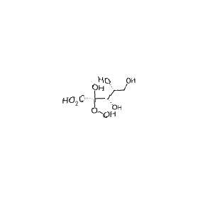 O=C(O)[C@@](O)(OO)[C@@H](O)[C@H](O)CO